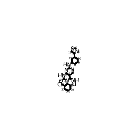 N=c1c2cnc(Nc3cccc(-c4cscn4)c3)nc2[nH]c(=O)n1-c1c(Cl)cccc1Cl